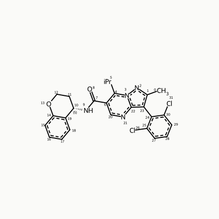 Cc1nn2c(C(C)C)c(C(=O)N[C@H]3CCOc4ccccc43)cnc2c1-c1c(Cl)cccc1Cl